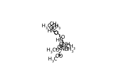 CCOC(=O)CC[C@@H](NC(=O)[C@@H](NC(=O)CNC(=O)/C=C/c1ccc(NC(=O)OC(C)(C)C)cc1)C(C)C)C(=O)OCC